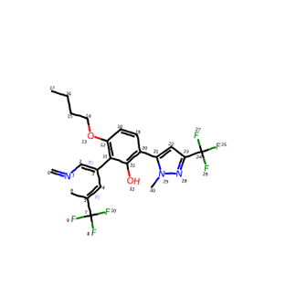 C=N/C=C(\C=C(/C)C(F)(F)F)c1c(OCCCC)ccc(-c2cc(C(F)(F)F)nn2C)c1O